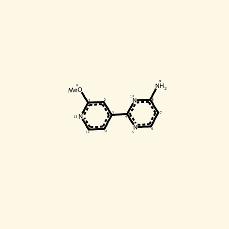 COc1cc(-c2nccc(N)n2)ccn1